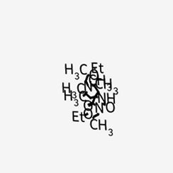 CCOC(C)CN1C(=O)NC2(CC(C)(C)N(CC(C)OCC)C(C)(C)C2)C1=O